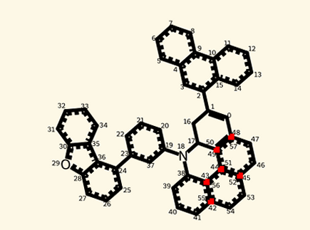 C1=C(c2cc3ccccc3c3ccccc23)CC(N(c2cccc(-c3cccc4oc5ccccc5c34)c2)c2ccccc2-c2ccccc2)C(c2ccccc2)=C1